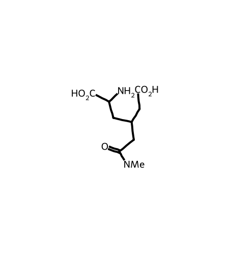 CNC(=O)CC(CC(=O)O)CC(N)C(=O)O